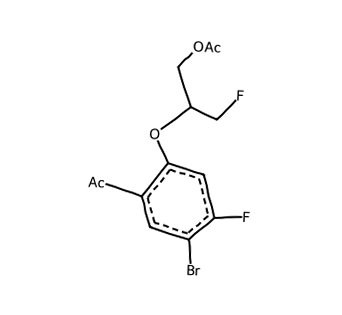 CC(=O)OCC(CF)Oc1cc(F)c(Br)cc1C(C)=O